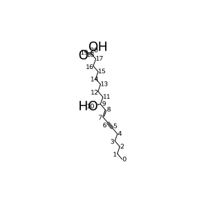 CCCCCC#C/C=C/[C@@H](O)CCCCCCCC(=O)O